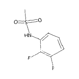 CS(=O)(=O)Nc1cccc(F)c1F